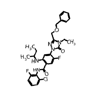 CCC(C)Nc1cc(-n2nc(COCc3ccccc3)n(CC)c2=O)c(F)cc1C(=O)Nc1c(F)cccc1Cl